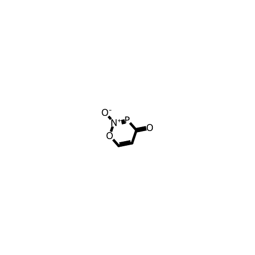 O=c1cco[n+]([O-])p1